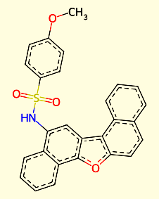 COc1ccc(S(=O)(=O)Nc2cc3c(oc4ccc5ccccc5c43)c3ccccc23)cc1